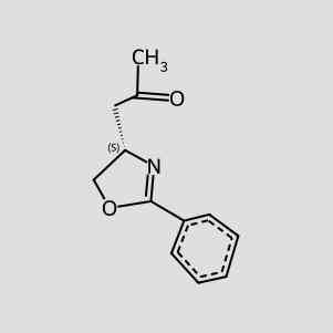 CC(=O)C[C@H]1COC(c2ccccc2)=N1